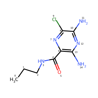 CCCNC(=O)c1nc(Cl)c(N)nc1N